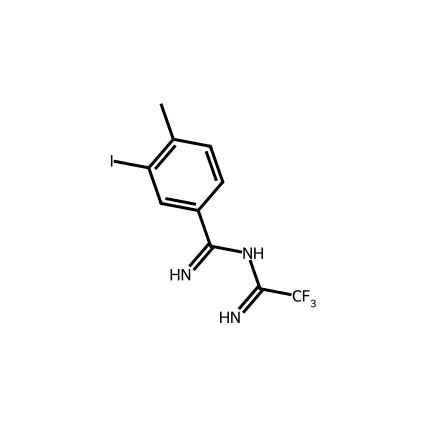 Cc1ccc(C(=N)NC(=N)C(F)(F)F)cc1I